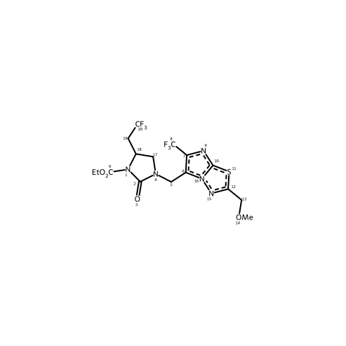 CCOC(=O)N1C(=O)N(Cc2c(C(F)(F)F)nc3sc(COC)nn23)CC1CC(F)(F)F